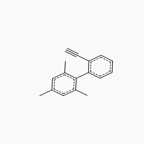 C#Cc1ccccc1-c1c(C)cc(C)cc1C